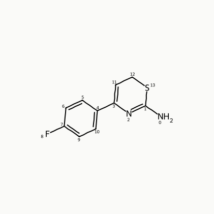 NC1=NC(c2ccc(F)cc2)=CCS1